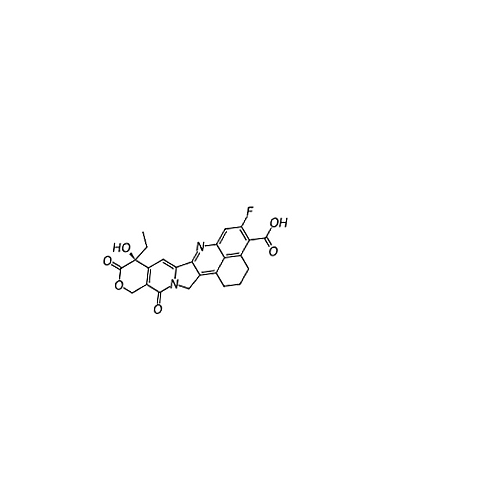 CC[C@@]1(O)C(=O)OCc2c1cc1n(c2=O)Cc2c-1nc1cc(F)c(C(=O)O)c3c1c2CCC3